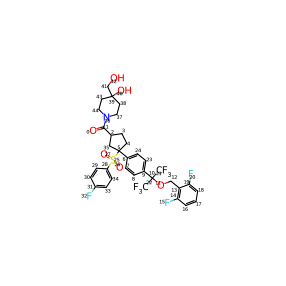 O=C(C1CCC(c2ccc(C(OCc3c(F)cccc3F)(C(F)(F)F)C(F)(F)F)cc2)(S(=O)(=O)c2ccc(F)cc2)C1)N1CCC(O)(CO)CC1